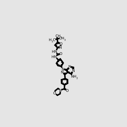 CC(C)(C)c1cc(NC(=O)Nc2ccc(-n3nc(-c4ccc(C(=O)N5CCOCC5)cc4)c4c(N)ncnc43)cc2)no1